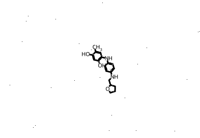 Cc1cc(Nc2ccc(NCC3CCCO3)cc2)c(O)cc1O